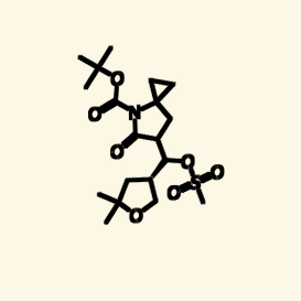 CC(C)(C)OC(=O)N1C(=O)C(C(OS(C)(=O)=O)[C@H]2COC(C)(C)C2)CC12CC2